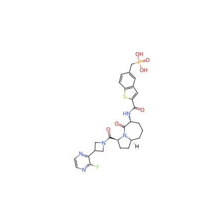 O=C(N[C@H]1CCC[C@H]2CC[C@@H](C(=O)N3CC(c4nccnc4F)C3)N2C1=O)c1cc2cc(CP(=O)(O)O)ccc2s1